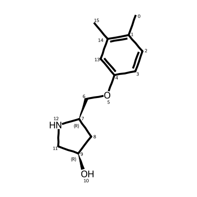 Cc1ccc(OC[C@H]2C[C@@H](O)CN2)cc1C